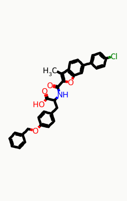 Cc1c(C(=O)NC(Cc2ccc(OCc3ccccc3)cc2)C(=O)O)oc2cc(-c3ccc(Cl)cc3)ccc12